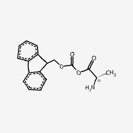 C[C@H](N)C(=O)OC(=O)OCC1c2ccccc2-c2ccccc21